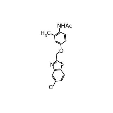 CC(=O)Nc1ccc(OCc2nc3cc(Cl)ccc3s2)cc1C